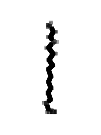 CCCCOCCCCCCCCCCOCCBr